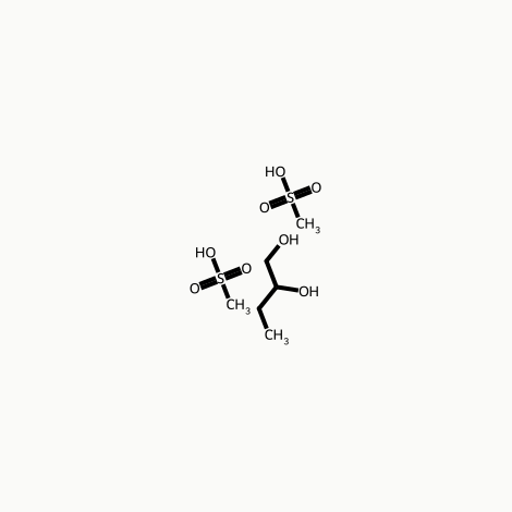 CCC(O)CO.CS(=O)(=O)O.CS(=O)(=O)O